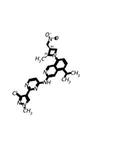 CC(C)c1ccc(N2C[C@H](C[N+](=O)[O-])[C@H]2C)c2cnc(Nc3ccnc(-c4cn(C)nc4Cl)n3)cc12